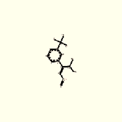 C=N/C=C(/c1cccc(C(C)(C)C)c1)C(C)C